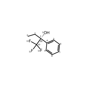 CC[C@@](O)(c1ccccc1)C(F)(F)F